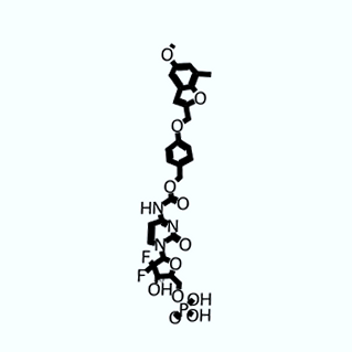 COc1cc(C)c2oc(COc3ccc(COC(=O)Nc4ccn(C5OC(COP(=O)(O)O)[C@@H](O)C5(F)F)c(=O)n4)cc3)cc2c1